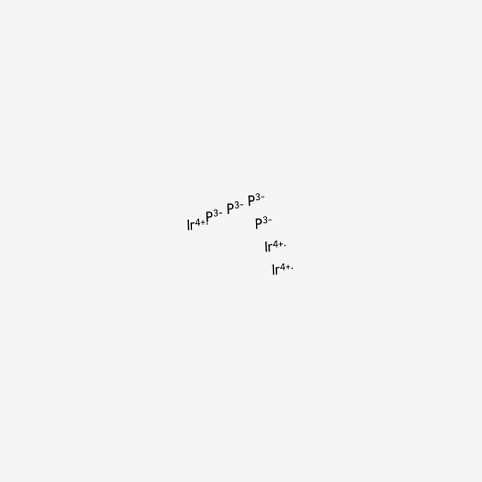 [Ir+4].[Ir+4].[Ir+4].[P-3].[P-3].[P-3].[P-3]